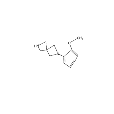 COc1ccccc1N1CC2(CNC2)C1